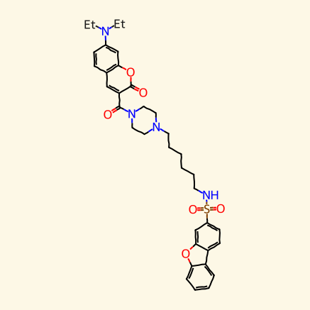 CCN(CC)c1ccc2cc(C(=O)N3CCN(CCCCCCNS(=O)(=O)c4ccc5c(c4)oc4ccccc45)CC3)c(=O)oc2c1